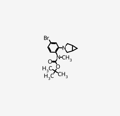 CN(C(=O)OC(C)(C)C)c1ccc(Br)cc1N1CC2CC2C1